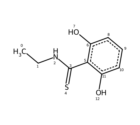 CCNC(=S)c1c(O)cccc1O